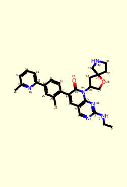 CCNc1ncc2cc(-c3ccc(-c4cccc(C)n4)cc3C)c(=O)n(C3COC4(CCNC4)C3)c2n1